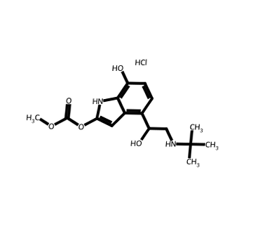 COC(=O)Oc1cc2c(C(O)CNC(C)(C)C)ccc(O)c2[nH]1.Cl